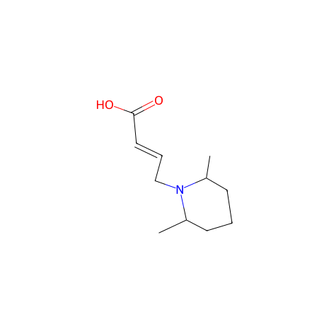 CC1CCCC(C)N1C/C=C/C(=O)O